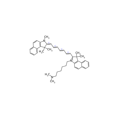 CN(C)CCCCCC[N+]1=C(/C=C/C=C/C=C/C=C2/N(C)c3ccc4ccccc4c3C2(C)C)C(C)(C)c2c1ccc1ccccc21